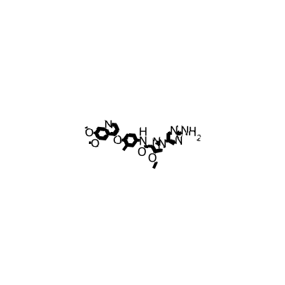 CCOc1cn(-c2cnc(N)nc2)nc1C(=O)Nc1ccc(Oc2ccnc3cc(OC)c(OC)cc23)c(C)c1